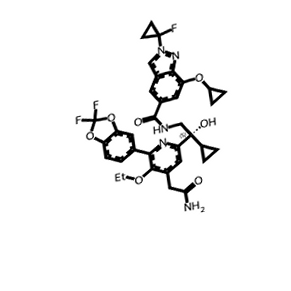 CCOc1c(CC(N)=O)cc([C@@](O)(CNC(=O)c2cc(OC3CC3)c3nn(C4(F)CC4)cc3c2)C2CC2)nc1-c1ccc2c(c1)OC(F)(F)O2